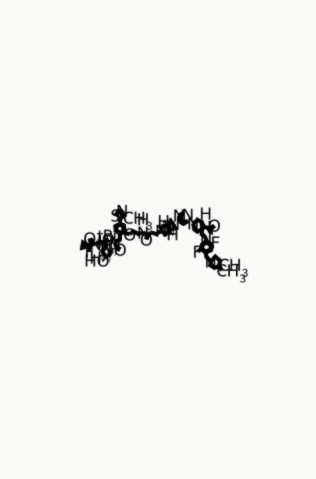 Cc1ncsc1-c1ccc(CNC(=O)[C@@H]2C[C@@H](O)CN2C(=O)[C@@H](NC(=O)C2(F)CC2)C(C)(C)C)c(OCCNC(=O)CCN2C[C@@H]3CN(c4cc(N5CCC6(CC5)CN(c5cc(F)c(CN7CCC(C)(C)CC7)cc5F)CC(=O)N6)ncn4)C[C@@H]3C2)c1